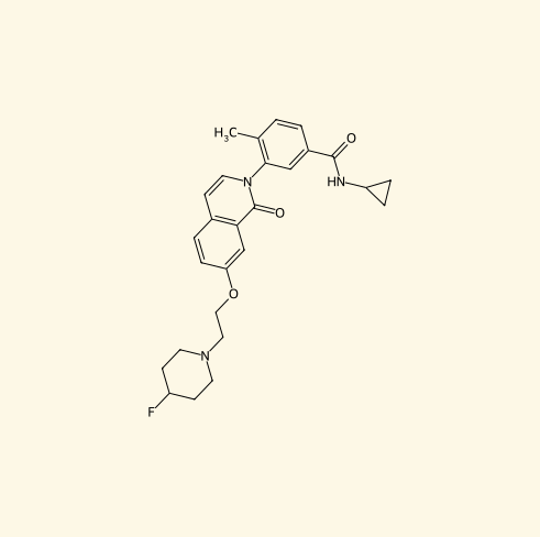 Cc1ccc(C(=O)NC2CC2)cc1-n1ccc2ccc(OCCN3CCC(F)CC3)cc2c1=O